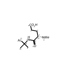 CN[C@@H](CCC(=O)O)C(=O)NC(C)(C)C(C)=O